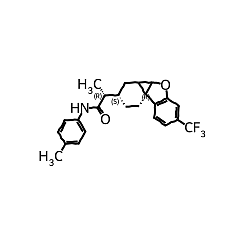 Cc1ccc(NC(=O)[C@H](C)[C@H]2CC[C@@]34c5ccc(C(F)(F)F)cc5OC3C4C2)cc1